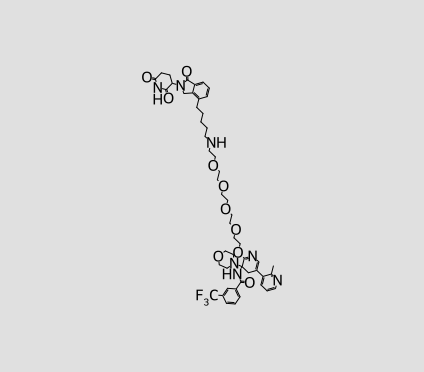 Cc1ncccc1C1=CN=C(OCCOCCOCCOCCOCCNCCCCCc2cccc3c2CN(C2CCC(=O)NC2=O)C3=O)C(NC(=O)c2cccc(C(F)(F)F)c2)(N2CCOCC2)C1